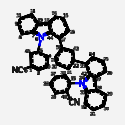 N#Cc1cccc(-n2c3ccccc3c3cccc(-c4cccc(-c5cccc6c7ccccc7n(-c7ccccc7C#N)c56)c4)c32)c1